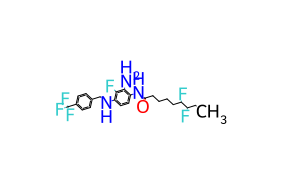 CCC(F)C(F)CCCCC(=O)Nc1ccc(NCc2ccc(C(F)(F)F)cc2)c(F)c1N